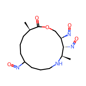 C[C@@H]1CCCC(N=O)CCCN[C@H](C)[C@@H](N=O)[C@H](N=O)COC1=O